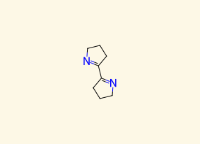 C1CN=C(C2=NCCC2)C1